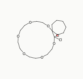 ClC1(Cl)OCCOCCOCCOCCOCCOC12CCCCCC2